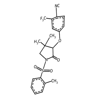 [C-]#[N+]c1ccc(OC2C(=O)N(S(=O)(=O)c3ccccc3C)CC2(C)C)cc1C(F)(F)F